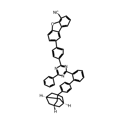 N#Cc1cccc2c1oc1ccc(-c3ccc(-c4nc(-c5ccccc5)nc(-c5ccccc5-c5ccc(C67C[C@H]8C[C@@H](C6)C[C@@H](C7)C8)cc5)n4)cc3)cc12